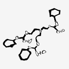 O=CC(OCCN(CCOC(C=O)OC1CCCCC1)CCOC(C=O)OC1CCCCC1)OC1CCCCC1